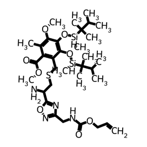 C=CCOC(=O)NCc1noc(C(N)CSCc2c(O[SiH](C)C(C)(C)C(C)C)c(O[SiH](C)C(C)(C)C(C)C)c(OC)c(C)c2C(=O)OC)n1